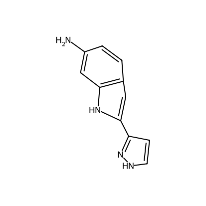 Nc1ccc2cc(-c3cc[nH]n3)[nH]c2c1